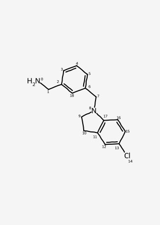 NCc1cccc(CN2CCc3cc(Cl)ccc32)c1